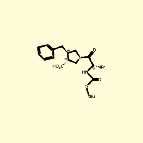 CC(C)[C@H](NC(=O)OC(C)(C)C)C(=O)N1C[C@H](Cc2ccccc2)[C@@H](C(=O)O)C1